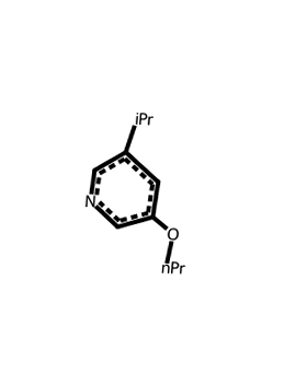 CCCOc1cncc(C(C)C)c1